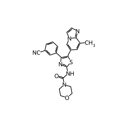 Cc1cc(-c2sc(NC(=O)N3CCOCC3)nc2-c2cccc(C#N)c2)cn2ccnc12